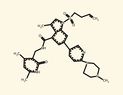 C=CCCS(=O)(=O)n1cc(C)c2c(C(=O)NCc3c(C)cc(C)[nH]c3=O)cc(-c3ccc(N4CCN(C)CC4)nc3)cc21